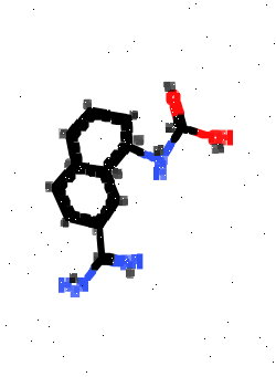 N=C(N)c1ccc2cccc(NC(=O)O)c2c1